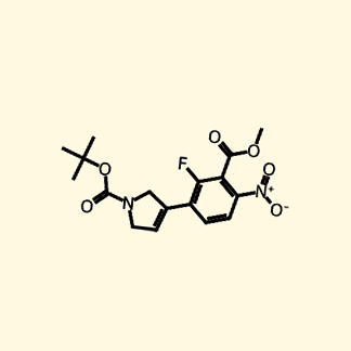 COC(=O)c1c([N+](=O)[O-])ccc(C2=CCN(C(=O)OC(C)(C)C)C2)c1F